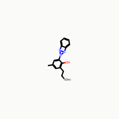 CCCCCCCCCCCCc1cc(C)cc(-n2n3c4ccccc4n23)c1O